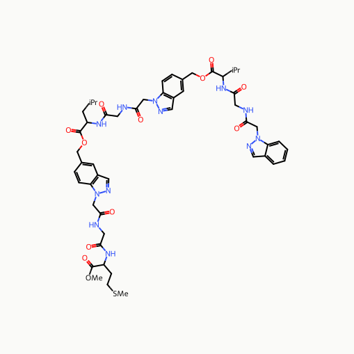 COC(=O)C(CCSC)NC(=O)CNC(=O)Cn1ncc2cc(COC(=O)C(CC(C)C)NC(=O)CNC(=O)Cn3ncc4cc(COC(=O)C(NC(=O)CNC(=O)Cn5ncc6ccccc65)C(C)C)ccc43)ccc21